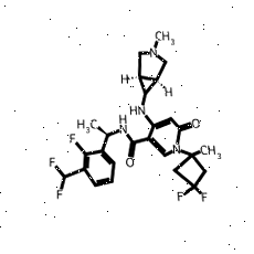 C[C@@H](NC(=O)c1cn(C2(C)CC(F)(F)C2)c(=O)cc1NC1[C@H]2CN(C)C[C@@H]12)c1cccc(C(F)F)c1F